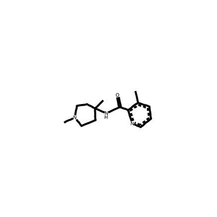 Cc1cccnc1C(=O)NC1(C)CCN(C)CC1